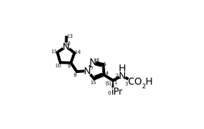 CC(C)[C@H](NC(=O)O)c1cnn(CC2CCN(C)C2)c1